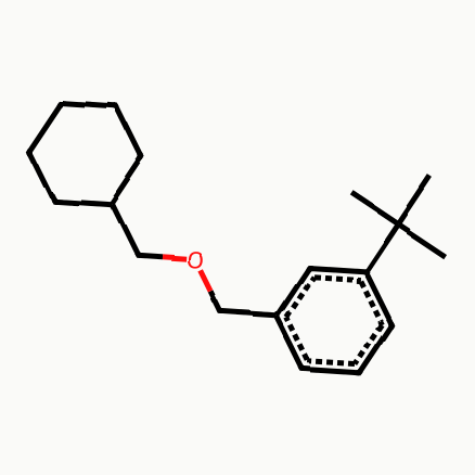 CC(C)(C)c1cccc(COCC2CCCCC2)c1